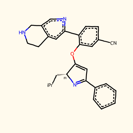 CC(C)C[C@H]1N=C(c2ccccc2)C=C1Oc1cc(C#N)ccc1-c1cc2c(cn1)CNCC2